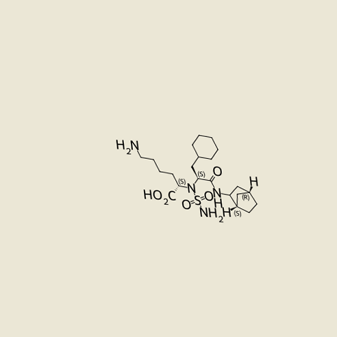 NCCCC[C@@H](C(=O)O)N([C@@H](CC1CCCCC1)C(=O)NC1C[C@@H]2CC[C@H]1C2)S(N)(=O)=O